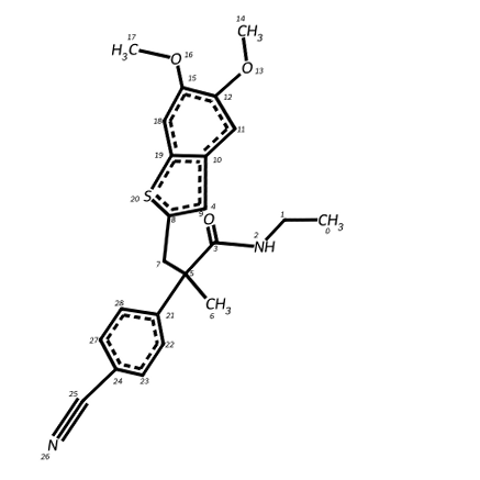 CCNC(=O)C(C)(Cc1cc2cc(OC)c(OC)cc2s1)c1ccc(C#N)cc1